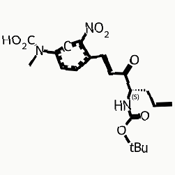 C=CC[C@H](NC(=O)OC(C)(C)C)C(=O)C=Cc1ccc(N(C)C(=O)O)cc1[N+](=O)[O-]